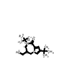 CC(C)(C)c1cc2n(c1)CC(CO)CN(C(C)(C)C)C2=O